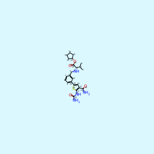 CC(C)[C@H](NCc1cccc(-c2cc(C(N)=O)c(NC(N)=O)s2)c1)C(=O)OC1CCCC1